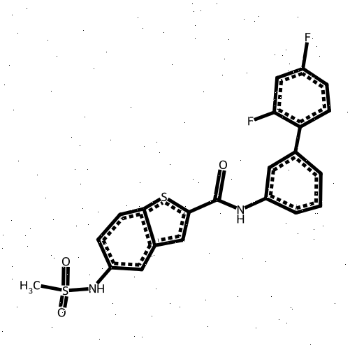 CS(=O)(=O)Nc1ccc2sc(C(=O)Nc3cccc(-c4ccc(F)cc4F)c3)cc2c1